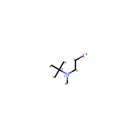 CN(CCI)C(C)(C)C